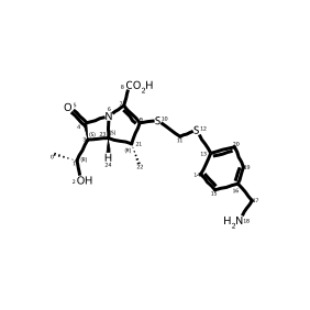 C[C@@H](O)[C@H]1C(=O)N2C(C(=O)O)=C(SCSc3ccc(CN)cc3)[C@H](C)[C@H]12